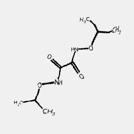 CC(C)ONC(=O)C(=O)NOC(C)C